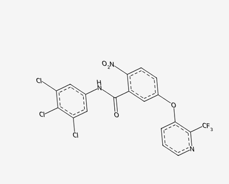 O=C(Nc1cc(Cl)c(Cl)c(Cl)c1)c1cc(Oc2cccnc2C(F)(F)F)ccc1[N+](=O)[O-]